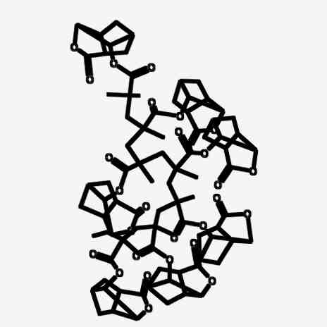 CCC(C)(CC(C)(CC(C)(CC(C)(CC(C)(CC(C)(CC(C)(C)C(=O)OC1C2CC3C(=O)OC1C3C2)C(=O)OC1C2CC3C(=O)OC1C3C2)C(=O)OC1C2CC3C(=O)OC1C3C2)C(=O)OC1C2CC3C(=O)OC1C3C2)C(=O)OC1C2CC3C(=O)OC1C3C2)C(=O)OC1C2CC3C(=O)OC1C3C2)C(=O)OC1C2CC3C(=O)OC1C3C2